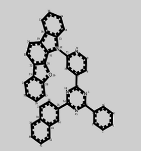 c1ccc(-c2nc(-c3ccnc(-n4c5ccccc5c5ccc6c7ccccc7oc6c54)c3)nc(-c3ccc4ccccc4c3)n2)cc1